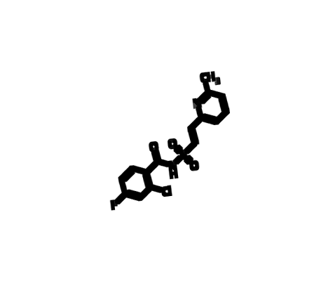 Cc1cccc(/C=C/S(=O)(=O)NC(=O)c2ccc(F)cc2Cl)n1